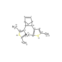 Cc1cc(C2C3C=CC(C3)C2c2cc(C)sc2C)c(C)s1